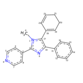 Cn1c(-c2ccncc2)nc(-c2ccccc2)c1C1=CCCC=C1